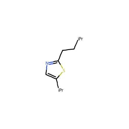 CC(C)CCc1ncc(C(C)C)s1